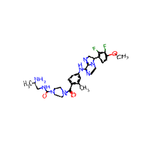 COc1ccc(C2CN=C3C(Nc4ccc(C(=O)N5CCN(C(=O)NC[C@@H](C)N)CC5)c(C)c4)=NC=CN32)c(F)c1F